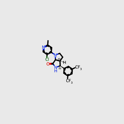 Cc1cc(N2CC[C@@H]3C2C(=O)N[C@@H]3c2cc(C(F)(F)F)cc(C(F)(F)F)c2)c(Cl)cn1